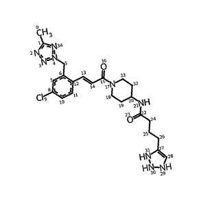 Cc1nnn(Cc2cc(Cl)ccc2/C=C/C(=O)N2CCC(NC(=O)CCCC3=CNNN3)CC2)n1